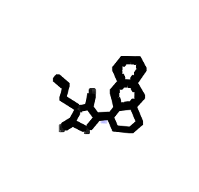 C=CCN1C(=O)/C(=C2/CCCc3cc4ccccc4cc32)SC1=S